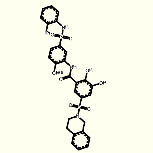 COc1ccc(S(=O)(=O)Nc2ccccc2C(C)C)cc1NC(=O)c1cc(S(=O)(=O)N2CCc3ccccc3C2)cc(O)c1O